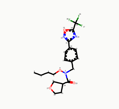 CCCCON(Cc1ccc(-c2noc(C(F)(F)F)n2)cc1)C(=O)C1CCOC1